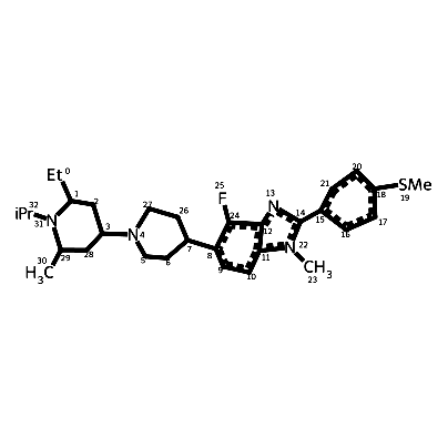 CCC1CC(N2CCC(c3ccc4c(nc(-c5ccc(SC)cc5)n4C)c3F)CC2)CC(C)N1C(C)C